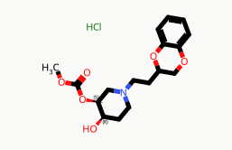 COC(=O)O[C@H]1CN(CCC2COc3ccccc3O2)CC[C@H]1O.Cl